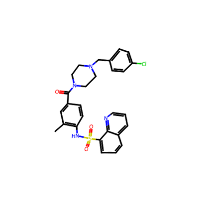 Cc1cc(C(=O)N2CCN(Cc3ccc(Cl)cc3)CC2)ccc1NS(=O)(=O)c1cccc2cccnc12